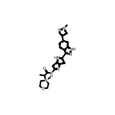 CC(C(=O)Nc1cc2[nH]c(-c3n[nH]c4cc(-c5cnn(C)c5)ccc34)cc2s1)[N+]1(C)CCOCC1